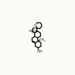 CC12CCC(O)CC1=CCC1C2CCC2(C)C1CC[C@@]21CCCCO1